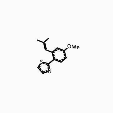 COc1ccc(-c2nccs2)c(C=C(C)C)c1